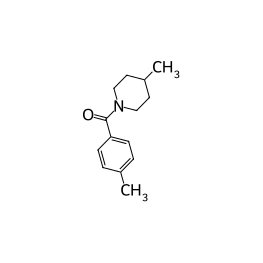 Cc1ccc(C(=O)N2CCC(C)CC2)cc1